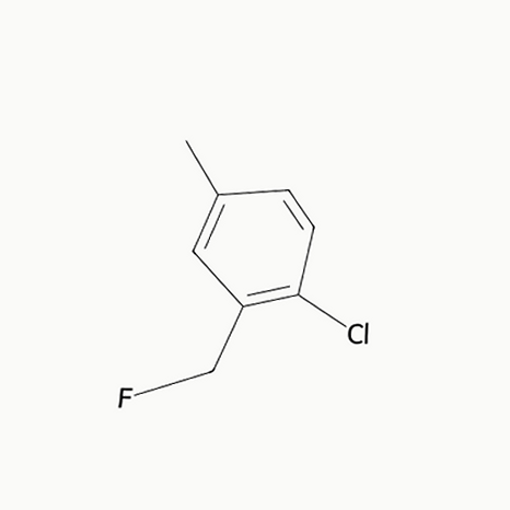 Cc1ccc(Cl)c(CF)c1